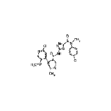 COc1cnc(Cl)cc1-c1cc(C)ncc1C(=O)Nc1nnc(C(=O)N(C)c2ccc(Cl)cc2)s1